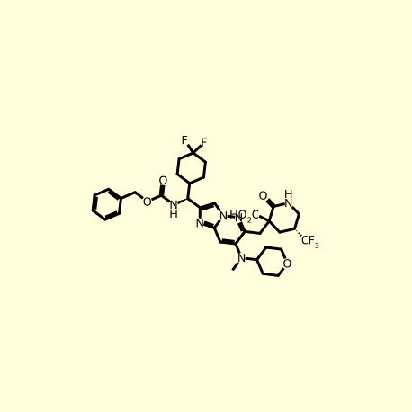 CN(c1cc2nc([C@@H](NC(=O)OCc3ccccc3)C3CCC(F)(F)CC3)cn2nc1CC1(C(=O)O)C[C@@H](C(F)(F)F)CNC1=O)C1CCOCC1